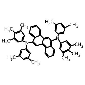 Cc1cc(C)cc(N(c2cc(C)c(C)c(C)c2)c2cc3c4ccccc4c(N(c4cc(C)cc(C)c4)c4cc(C)c(C)c(C)c4)cc3c3ccccc23)c1